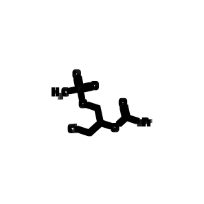 CCCC(=O)OC(CCl)COS(C)(=O)=O